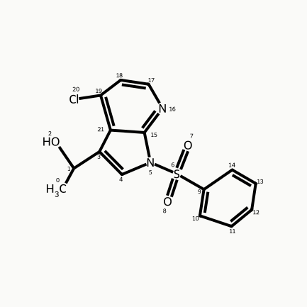 CC(O)c1cn(S(=O)(=O)c2ccccc2)c2nccc(Cl)c12